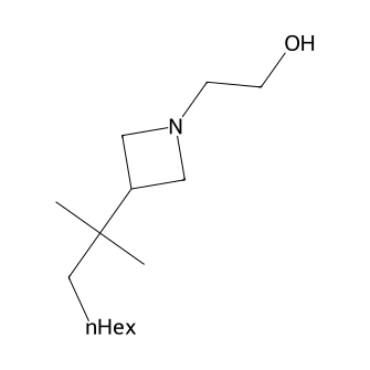 CCCCCCCC(C)(C)C1CN(CCO)C1